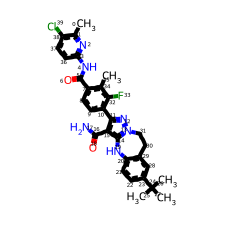 Cc1nc(NC(=O)c2ccc(-c3nn4c(c3C(N)=O)Nc3ccc(C(C)(C)C)cc3CC4)c(F)c2C)ccc1Cl